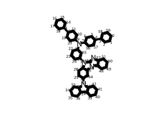 c1ccc(-c2ccc(N(c3ccc(-c4ccccc4)cc3)c3cccc(-n4c5ccc(-n6c7ccccc7c7ccccc76)cc5n5c6ccccc6nc45)c3)cc2)cc1